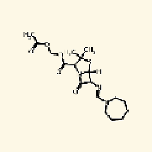 CC(=O)OCOC(=O)[C@@H]1N2C(=O)C(/N=C/N3CCCCCC3)[C@H]2SC1(C)C